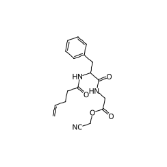 C=CCCC(=O)NC(Cc1ccccc1)C(=O)NCC(=O)OCC#N